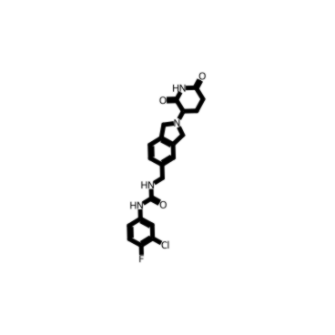 O=C1CCC(N2Cc3ccc(CNC(=O)Nc4ccc(F)c(Cl)c4)cc3C2)C(=O)N1